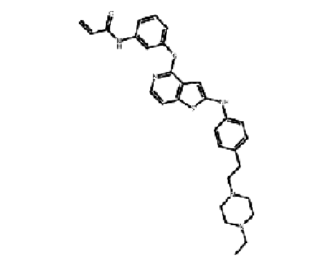 C=CC(=O)Nc1cccc(Oc2nccc3sc(Nc4ccc(CCN5CCN(CC)CC5)cc4)cc23)c1